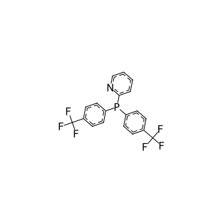 FC(F)(F)c1ccc(P(c2ccc(C(F)(F)F)cc2)c2ccccn2)cc1